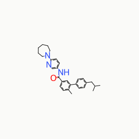 Cc1ccc(C(=O)Nc2ccc(N3CCCCCC3)nc2)cc1-c1ccc(CC(C)C)cc1